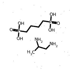 CC(N)CN.O=P(O)(O)CCCCP(=O)(O)O